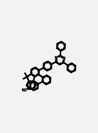 CC1(C)c2ccccc2-c2c1ccc(-c1ccc(-c3cc(-c4ccccc4)nc(-c4ccccc4)n3)cc1)c2-c1ccccc1-c1ccc(C#N)cc1